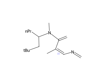 C=N/C=C(/C)C(=C)N(C)C(CCC)CC(C)(C)C